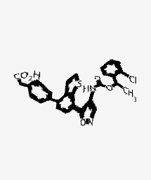 CC(OC(=O)Nc1cnoc1-c1ccc(-c2ccc(CC(=O)O)cc2)c2ccsc12)c1ccccc1Cl